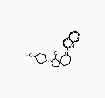 O=C1N([C@H]2CC[C@H](O)CC2)CCC12CCCN(c1ccc3ccccc3n1)C2